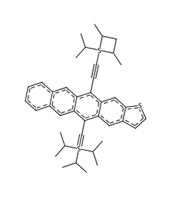 CC(C)S1(C#Cc2c3cc4ccccc4cc3c(C#S(C(C)C)(C(C)C)C(C)C)c3cc4ccsc4cc23)C(C)CC1C